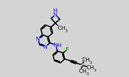 CC1(c2ccc3ncnc(Nc4cccc(C#C[Si](C)(C)C)c4F)c3c2)CNC1